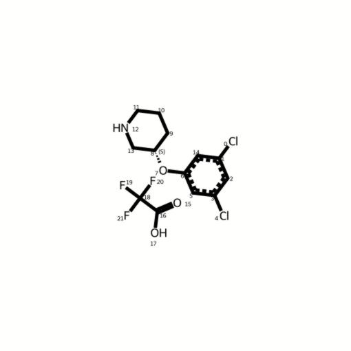 Clc1cc(Cl)cc(O[C@H]2CCCNC2)c1.O=C(O)C(F)(F)F